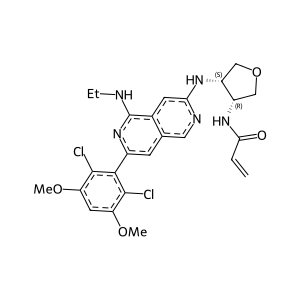 C=CC(=O)N[C@H]1COC[C@H]1Nc1cc2c(NCC)nc(-c3c(Cl)c(OC)cc(OC)c3Cl)cc2cn1